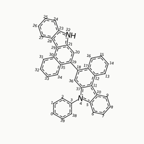 c1ccc(-n2c3ccccc3c3c4ccccc4c(-c4cc5[nH]c6ccccc6c5c5ccccc45)cc32)cc1